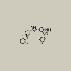 Cc1cc(-c2n[nH]c3ccc(-n4cc([C@@H]5CCCN(Cc6c(C)cccc6F)C5)nn4)cc23)ccn1